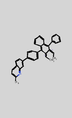 C/C=c1/c(-c2ccccc2)c2ccccc2c(-c2ccc(-c3ccc4ccc(C)nc4c3)cc2)/c1=C/C